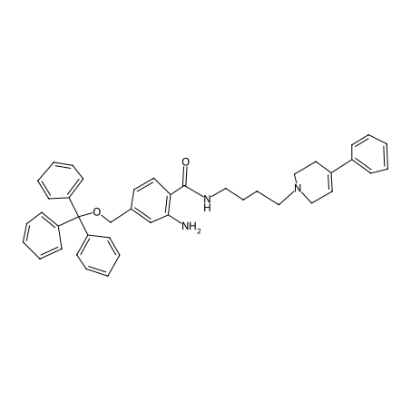 Nc1cc(COC(c2ccccc2)(c2ccccc2)c2ccccc2)ccc1C(=O)NCCCCN1CC=C(c2ccccc2)CC1